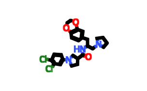 O=C(NC(Cc1ccc2c(c1)OCCO2)CN1CCCC1)C1CCN(c2ccc(Cl)c(Cl)c2)C1